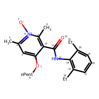 CCCCCOc1cc(C)[n+]([O-])c(C)c1C(=O)Nc1c(CC)cccc1CC